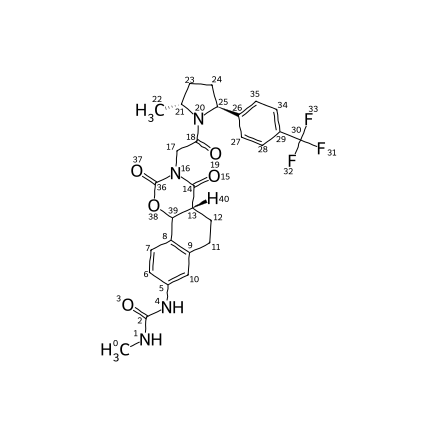 CNC(=O)Nc1ccc2c(c1)CC[C@H]1C(=O)N(CC(=O)N3[C@H](C)CC[C@H]3c3ccc(C(F)(F)F)cc3)C(=O)OC21